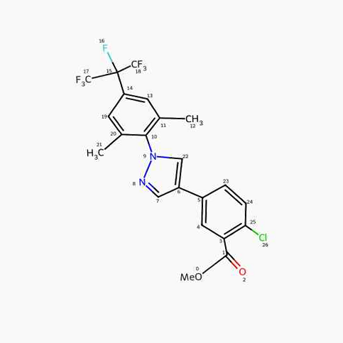 COC(=O)c1cc(-c2cnn(-c3c(C)cc(C(F)(C(F)(F)F)C(F)(F)F)cc3C)c2)ccc1Cl